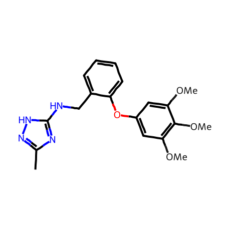 COc1cc(Oc2ccccc2CNc2nc(C)n[nH]2)cc(OC)c1OC